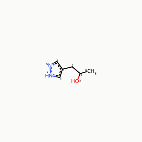 CC(O)Cc1cn[nH]c1